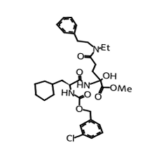 CCN(CCc1ccccc1)C(=O)CCC(O)(NC(=O)[C@H](CC1CCCCC1)NC(=O)OCc1cccc(Cl)c1)C(=O)OC